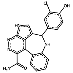 NC(=O)c1nnc2[nH]cc3c2c1-c1ccccc1NC3c1ccc(O)c(Cl)c1